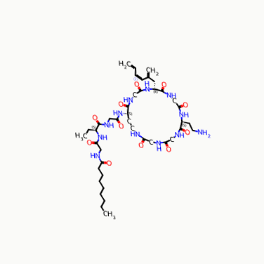 C=C/C=C\C(=C)C[C@H]1NC(=O)CNC(=O)[C@@H](NC(=O)CNC(=O)[C@H](CC)NC(=O)CNC(=O)CCCCCCCC)CCNC(=O)CNC(=O)CNC(=O)[C@H](CCN)NC(=O)CNC1=O